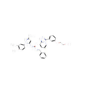 CC(C)(C)c1cc(NC(=O)NCc2ccccc2Sc2ccc3nnc(-c4cccc(OCCO)c4)n3c2)n(-c2ccc(O)c(C#N)c2)n1